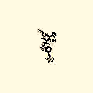 CC(C)CCn1nc(-c2cccs2)c(O)c(C2=NS(=O)(=O)c3cc(/C=C/S(C)(=O)=O)ccc3N2)c1=O